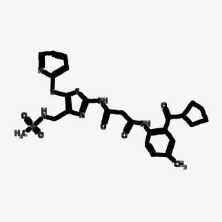 Cc1ccc(NC(=O)CC(=O)Nc2nc(CNS(C)(=O)=O)c(Sc3ccccn3)s2)c(C(=O)C2CCCC2)c1